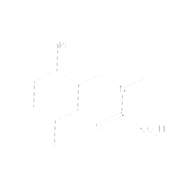 CC1CCC(C(C)C)C(CN(C)C(=O)C(=O)O)C1